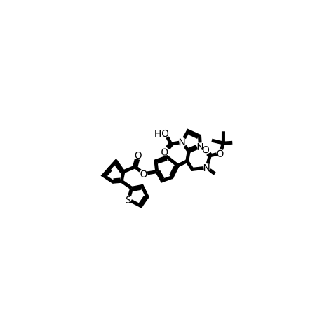 CN(CC(c1ccc(OC(=O)c2ccccc2-c2cccs2)cc1)c1nccn1C(=O)O)C(=O)OC(C)(C)C